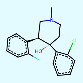 CN1CC[C@@](O)(c2ccccc2Cl)[C@@H](c2ccccc2F)C1